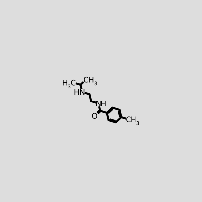 Cc1ccc(C(=O)NCCNC(C)C)cc1